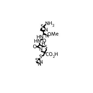 CON=C(NC(=O)NC1C(=O)N2CC(CSc3nncs3)(C(=O)O)CS[C@H]12)c1csc(N)n1